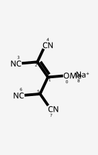 COC(=C(C#N)C#N)C(C#N)C#N.[Na+]